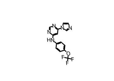 FC(F)(F)Oc1ccc(Nc2cc(-n3ccnc3)ncn2)cc1